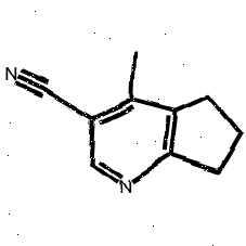 Cc1c(C#N)cnc2c1CCC2